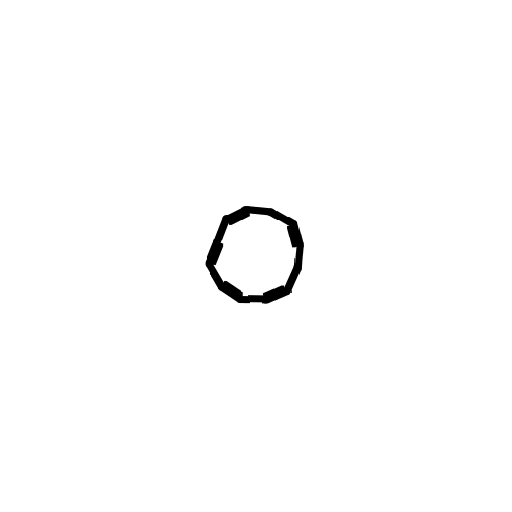 [C]1=CC=CC=CC=CCC=CC1